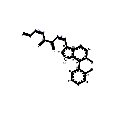 C=C/C=C\C(=C)C(=C)/C=C\c1coc2c(-c3ccccc3C)c(C)ccc12